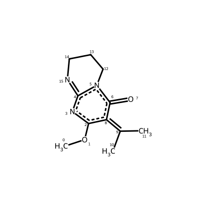 COc1nc2n(c(=O)c1=C(C)C)CCCN=2